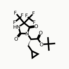 CC(C)(C)OC(=O)[C@H](CC1CC1)N1C(=O)NC(C(F)(F)F)(C(F)(F)F)C1=O